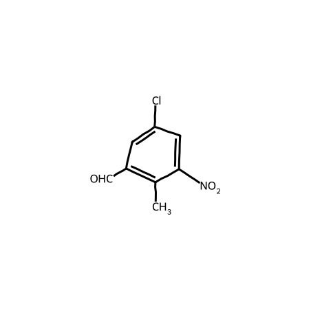 Cc1c(C=O)cc(Cl)cc1[N+](=O)[O-]